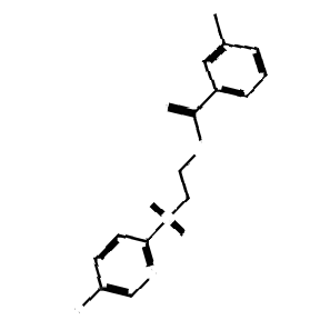 Cc1cccc(C(=O)OCCS(=O)(=O)c2ccc([N+](=O)[O-])cn2)c1